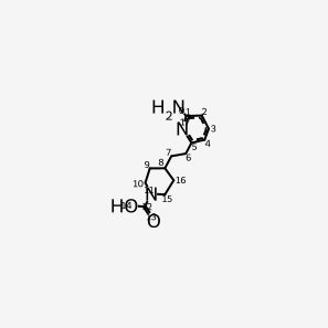 Nc1cccc(CCC2CCN(C(=O)O)CC2)n1